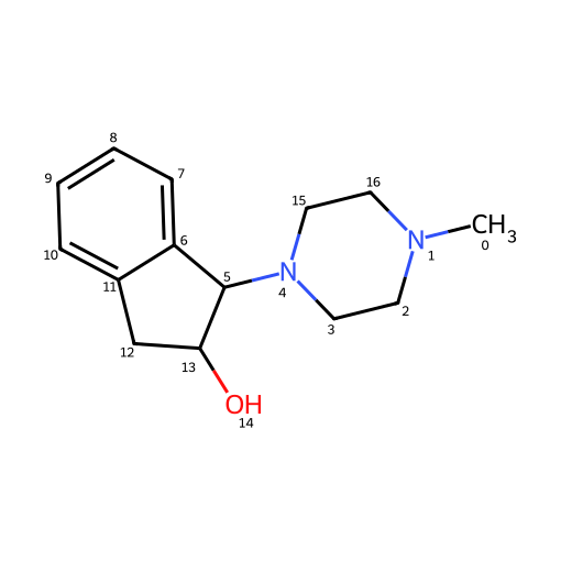 CN1CCN(C2c3ccccc3CC2O)CC1